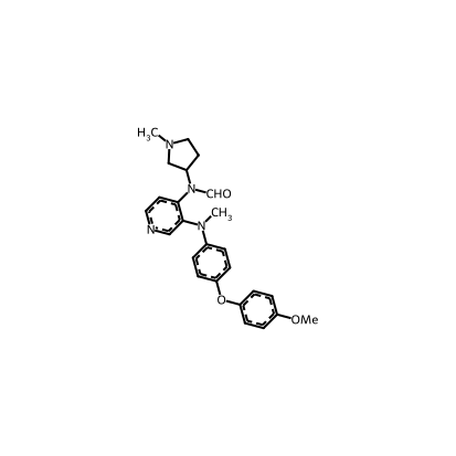 COc1ccc(Oc2ccc(N(C)c3cnccc3N(C=O)C3CCN(C)C3)cc2)cc1